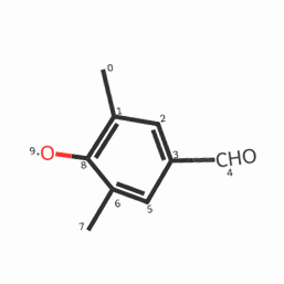 Cc1cc(C=O)cc(C)c1[O]